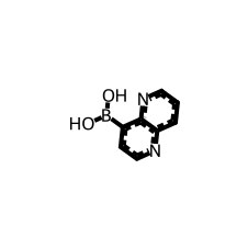 OB(O)c1ccnc2cccnc12